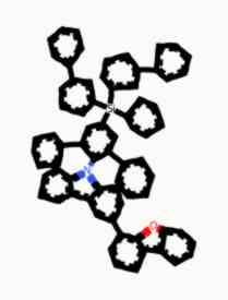 c1ccc(-c2cccc([Si](c3ccccc3)(c3cccc(-c4ccccc4)c3)c3cc(-c4ccccc4)c(-n4c5ccccc5c5cc(-c6cccc7c6oc6ccccc67)ccc54)c(-c4ccccc4)c3)c2)cc1